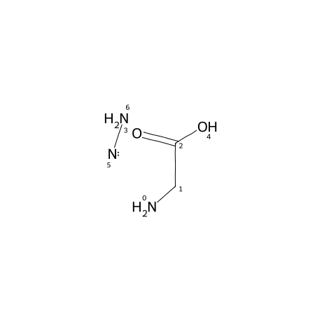 NCC(=O)O.[N]N